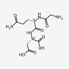 NCC(=O)N[C@@H](CCC(N)=O)C(=O)N[C@@H](CC(=O)O)C(=O)O